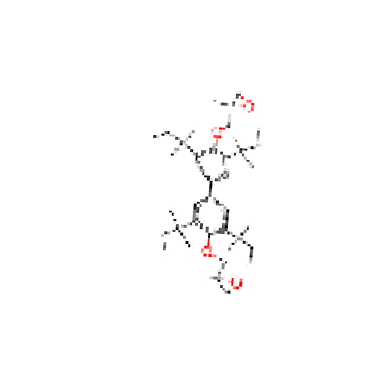 CCC(C)(C)c1cc(-c2cc(C(C)(C)CC)c(OCC3(C)CO3)c(C(C)(C)CC)c2)cc(C(C)(C)CC)c1OCC1(C)CO1